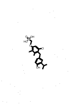 Cc1c(I)c(OCP(=O)(O)O)cc(Cl)c1Cc1ccc(O)c(C(C)C)c1